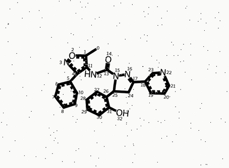 Cc1onc(-c2ccccc2)c1NC(=O)N1N=C(c2cccnc2)CC1c1ccccc1O